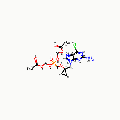 CC(C)(C)C(=O)OCOP(=O)(COC1(Cn2cnc3c(Cl)nc(N)nc32)CC1)OCOC(=O)C(C)(C)C